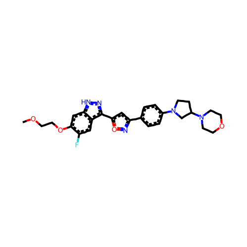 COCCOc1cc2[nH]nc(-c3cc(-c4ccc(N5CCC(N6CCOCC6)C5)cc4)no3)c2cc1F